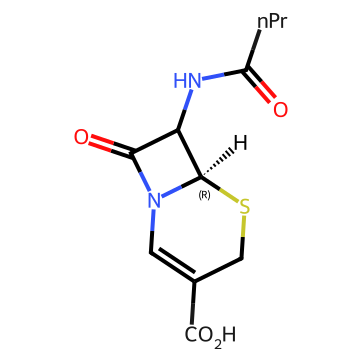 CCCC(=O)NC1C(=O)N2C=C(C(=O)O)CS[C@H]12